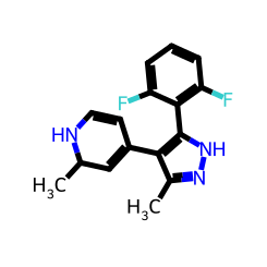 Cc1n[nH]c(-c2c(F)cccc2F)c1C1=CC(C)NC=C1